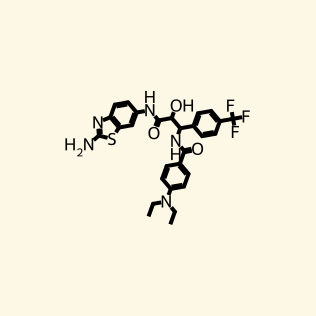 CCN(CC)c1ccc(C(=O)NC(c2ccc(C(F)(F)F)cc2)C(O)C(=O)Nc2ccc3nc(N)sc3c2)cc1